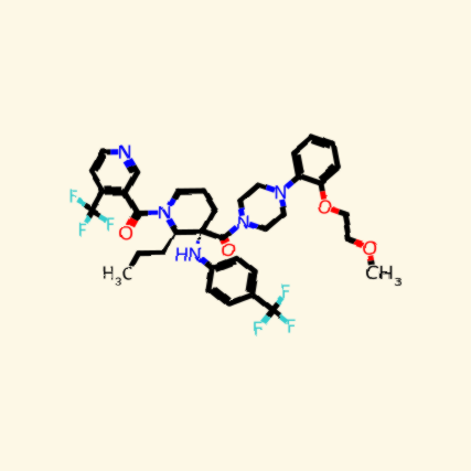 CCC[C@H]1N(C(=O)c2cnccc2C(F)(F)F)CCC[C@@]1(Nc1ccc(C(F)(F)F)cc1)C(=O)N1CCN(c2ccccc2OCCOC)CC1